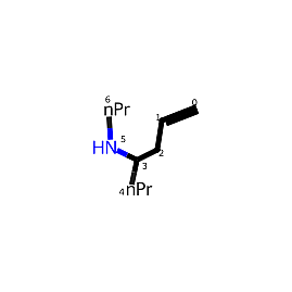 C=CCC(CCC)NCCC